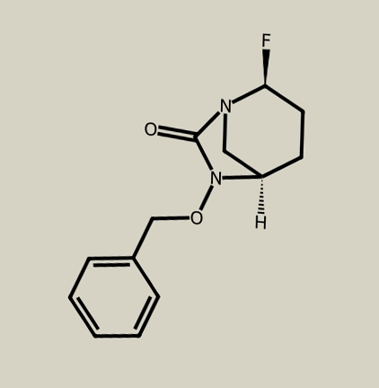 O=C1N2C[C@@H](CC[C@@H]2F)N1OCc1ccccc1